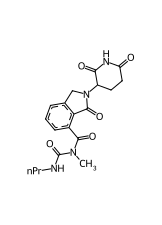 CCCNC(=O)N(C)C(=O)c1cccc2c1C(=O)N(C1CCC(=O)NC1=O)C2